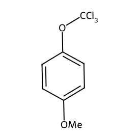 COc1ccc(OC(Cl)(Cl)Cl)cc1